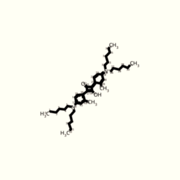 CCCCCCN(CCCCCC)c1ccc(C2=C(O)/C(=C3/C=CC(=[N+](CCCCCC)CCCCCC)C=C3C)C2=O)c(C)c1